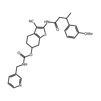 COc1cccc(C(C)CC(=O)Nc2sc3c(c2C#N)CCC(OC(=O)NCc2cccnc2)C3)c1